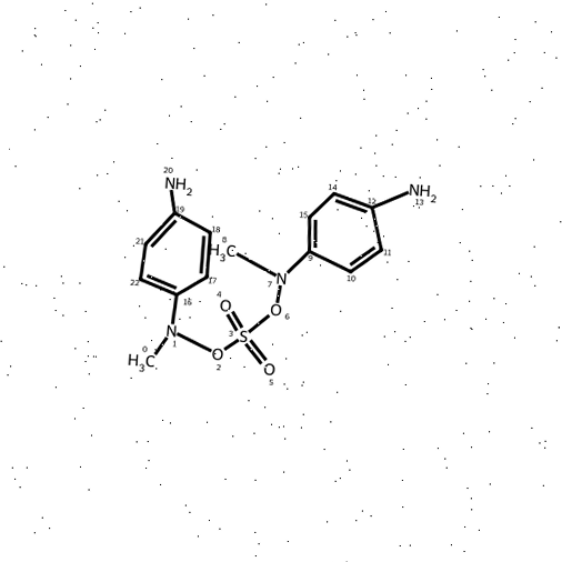 CN(OS(=O)(=O)ON(C)c1ccc(N)cc1)c1ccc(N)cc1